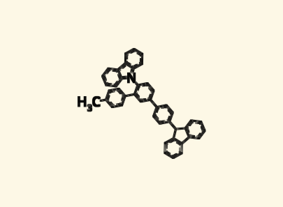 Cc1ccc(-c2cc(-c3ccc(C4c5ccccc5-c5ccccc54)cc3)ccc2-n2c3ccccc3c3ccccc32)cc1